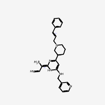 B/C(C=N)=C1\N=C(C2CCCN(C/C=C/c3ccccc3)C2)C=C(NCc2cccnc2)N1